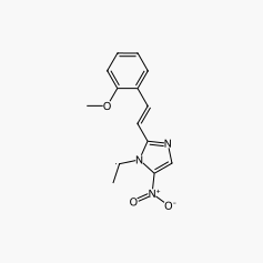 C[CH]n1c([N+](=O)[O-])cnc1/C=C/c1ccccc1OC